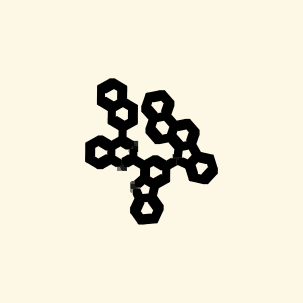 c1ccc2cc(-c3nc(-c4cc(-n5c6ccccc6c6ccc7c8ccccc8ccc7c65)cc5c4sc4ccccc45)nc4ccccc34)ccc2c1